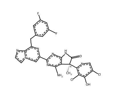 C[C@@]1(c2ncc(Cl)c(O)c2Cl)C(=O)Nc2nc(-c3cn4ccnc4c(Cc4cc(F)cc(F)c4)n3)nc(N)c21